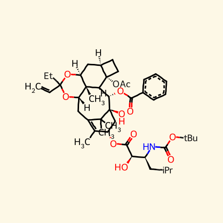 C=CC1(CC)O[C@H]2CC3=C(C)[C@@H](OC(=O)[C@H](O)[C@H](CC(C)C)NC(=O)OC(C)(C)C)C[C@@](O)([C@@H](OC(=O)c4ccccc4)[C@@H]4[C@]5(OC(C)=O)CC[C@@H]5C[C@H](O1)[C@@]24C)C3(C)C